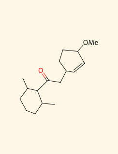 COC1C=CC(CC(=O)C2C(C)CCCC2C)CC1